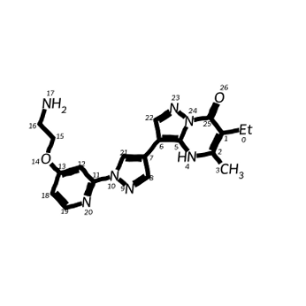 CCc1c(C)[nH]c2c(-c3cnn(-c4cc(OCCN)ccn4)c3)cnn2c1=O